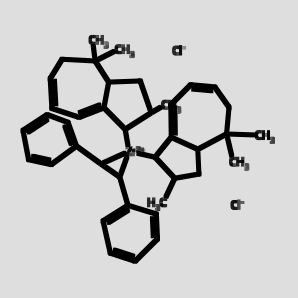 CC1CC2C(=CC=CCC2(C)C)[CH]1[Zr+2]1([CH]2C3=CC=CCC(C)(C)C3CC2C)[CH](c2ccccc2)[CH]1c1ccccc1.[Cl-].[Cl-]